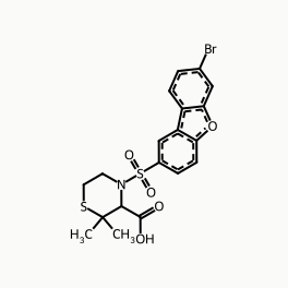 CC1(C)SCCN(S(=O)(=O)c2ccc3oc4cc(Br)ccc4c3c2)C1C(=O)O